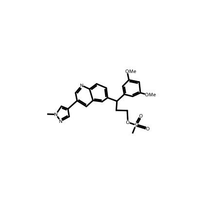 COc1cc(OC)cc(C(CCOS(C)(=O)=O)c2ccc3ncc(-c4cnn(C)c4)cc3c2)c1